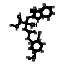 COC(=O)C(O)(Cc1cc2ccncc2[nH]1)CC(C)Cc1cc(OC)ccc1F